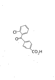 O=C(O)c1ccc(C(=O)c2ccccc2Cl)cc1